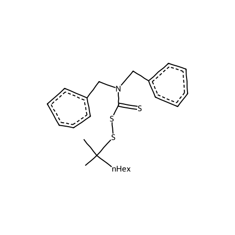 CCCCCCC(C)(C)SSC(=S)N(Cc1ccccc1)Cc1ccccc1